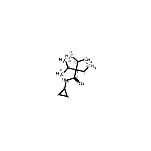 CCC(C(=O)NC1CC1)(C(C)C)C(C)C